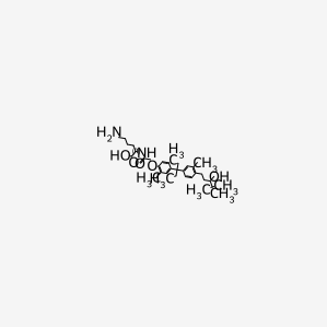 CCC(CC)(c1ccc(CCC(O)C(C)(C)C)c(C)c1)c1ccc(OCC(=O)N[C@H](CCCCN)C(=O)O)c(C)c1